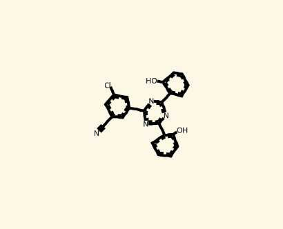 N#Cc1cc(Cl)cc(-c2nc(-c3ccccc3O)nc(-c3ccccc3O)n2)c1